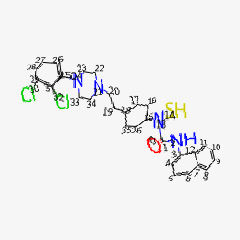 O=C(Nc1cccc2ccccc12)N(S)C1CCC(CCN2CCN(c3cccc(Cl)c3Cl)CC2)CC1